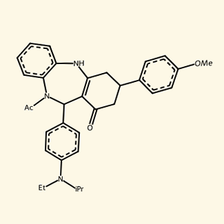 CCN(c1ccc(C2C3=C(CC(c4ccc(OC)cc4)CC3=O)Nc3ccccc3N2C(C)=O)cc1)C(C)C